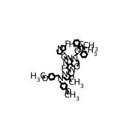 COc1ccc(CN(Cc2ccc(OC)cc2)c2cc(C)c(I)c(-c3nc4c5c(nc(OC[C@@]67CCCN6C[C@H](F)C7)nc5c3F)N(CCO[Si](c3ccccc3)(c3ccccc3)C(C)(C)C)CCO4)n2)cc1